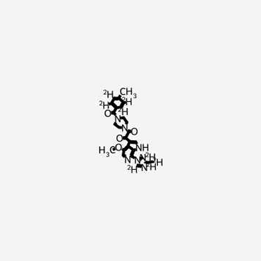 [2H]c1c([2H])c(C(=O)N2CCN(C(=O)C(=O)c3c[nH]c4c(-n5nc(C([2H])([2H])[2H])nc5[2H])ncc(OC)c34)CC2)c([2H])c([2H])c1C